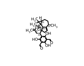 CC(C)C[C@H](c1c(O)c(C=O)c(O)c(C=O)c1O)[C@@]1(C)CC=C2[C@H](C)CC[C@@H]3[C@H]([C@@H]21)C3(C)C